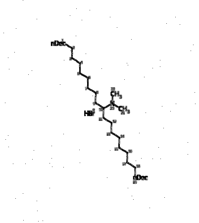 Br.CCCCCCCCCCCCCCCCCCC(CCCCCCCCCCCCCCCCCC)N(C)C